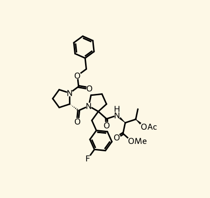 COC(=O)[C@@H](NC(=O)C1(Cc2cccc(F)c2)CCCN1C(=O)[C@@H]1CCCN1C(=O)OCc1ccccc1)[C@@H](C)OC(C)=O